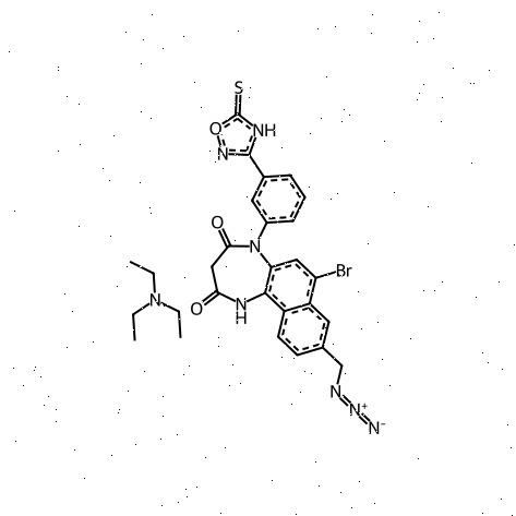 CCN(CC)CC.[N-]=[N+]=NCc1ccc2c3c(cc(Br)c2c1)N(c1cccc(-c2noc(=S)[nH]2)c1)C(=O)CC(=O)N3